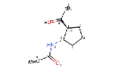 COC(=O)N[C@H]1CCC[C@@H]1C(=O)C(C)(C)C